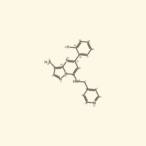 Bc1cnn2c(NCc3ccncc3)cc(-c3ccccc3F)nc12